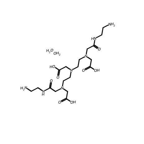 NCCNC(=O)CN(CCN(CCN(CC(=O)O)CC(=O)NCCN)CC(=O)O)CC(=O)O.O.O